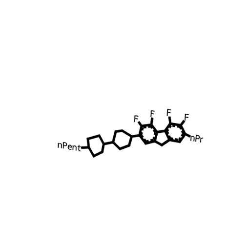 CCCCCC1CCC(C2CCC(c3cc4c(c(F)c3F)-c3c(cc(CCC)c(F)c3F)C4)CC2)CC1